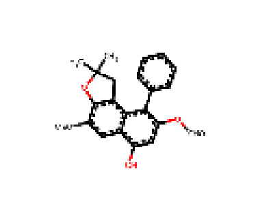 COc1cc2c(O)cc(OC=O)c(-c3ccccc3)c2c2c1OC(C)(C)C2